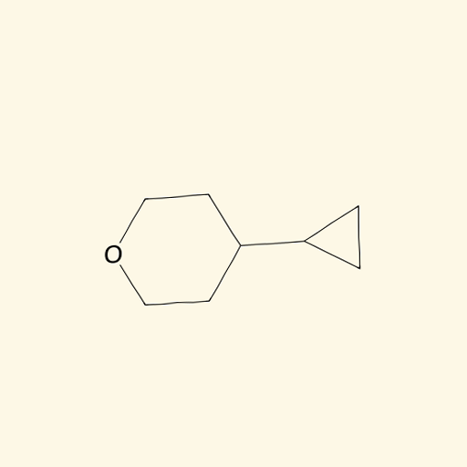 C1CC(C2CC2)CCO1